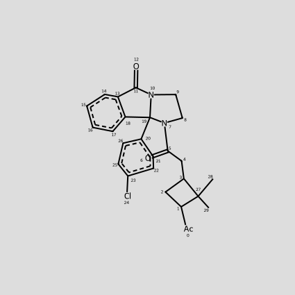 CC(=O)C1CC(CC(=O)N2CCN3C(=O)c4ccccc4C23c2ccc(Cl)cc2)C1(C)C